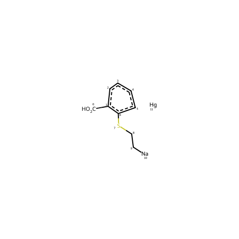 O=C(O)c1ccccc1SC[CH2][Na].[Hg]